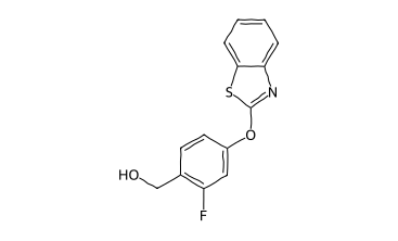 OCc1ccc(Oc2nc3ccccc3s2)cc1F